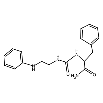 NC(=O)C(Cc1ccccc1)NC(=O)NCCNc1ccccc1